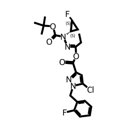 CCC(=NN(C(=O)OC(C)(C)C)[C@H]1C[C@@H]1F)OC(=O)c1cc(Cl)n(Cc2ccccc2F)n1